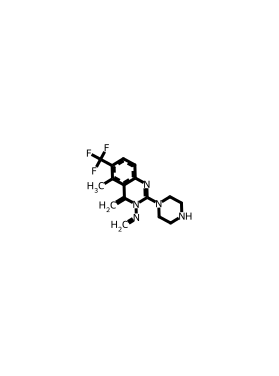 C=NN1C(=C)c2c(ccc(C(F)(F)F)c2C)N=C1N1CCNCC1